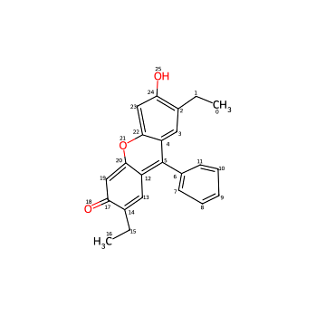 CCc1cc2c(-c3ccccc3)c3cc(CC)c(=O)cc-3oc2cc1O